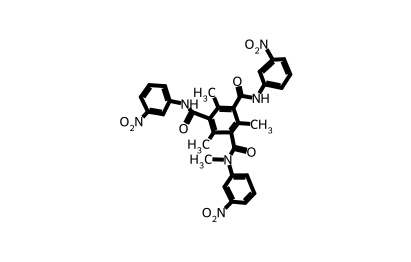 Cc1c(C(=O)Nc2cccc([N+](=O)[O-])c2)c(C)c(C(=O)N(C)c2cccc([N+](=O)[O-])c2)c(C)c1C(=O)Nc1cccc([N+](=O)[O-])c1